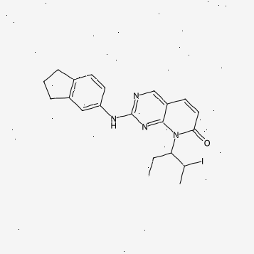 CCC(C(C)I)n1c(=O)ccc2cnc(Nc3ccc4c(c3)CCC4)nc21